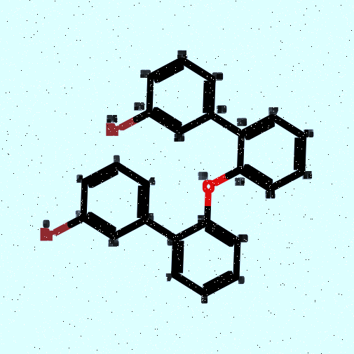 Brc1cccc(-c2ccccc2Oc2ccccc2-c2cccc(Br)c2)c1